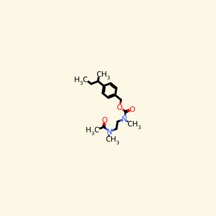 CCC(C)c1ccc(COC(=O)N(C)CCN(C)C(C)=O)cc1